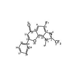 Cn1c(C(F)(F)F)nc2c(F)cc3c(=O)cc(-c4ccccn4)oc3c21